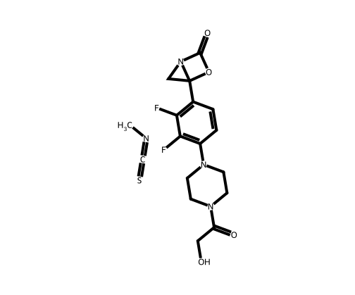 CN=C=S.O=C(CO)N1CCN(c2ccc(C34CN3C(=O)O4)c(F)c2F)CC1